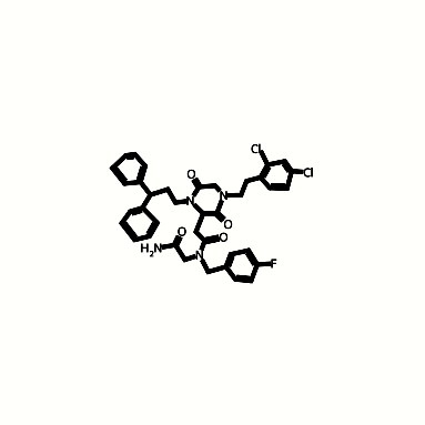 NC(=O)CN(Cc1ccc(F)cc1)C(=O)CC1C(=O)N(CCc2ccc(Cl)cc2Cl)CC(=O)N1CCC(c1ccccc1)c1ccccc1